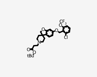 CC(C)(C)OC(=O)CCN1CCC2(CC1)COc1cc(OCc3c(Cl)cccc3OC(F)(F)F)ccc12